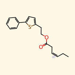 CC/C=C\CC(=O)OCCc1ccc(-c2ccccc2)s1